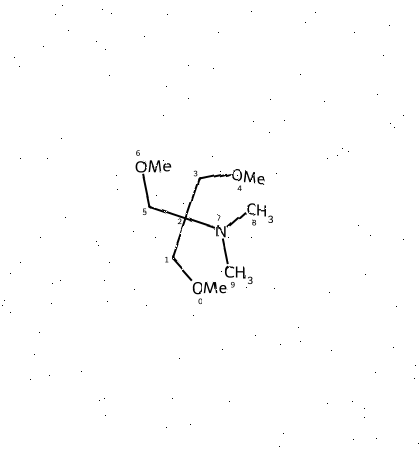 COCC(COC)(COC)N(C)C